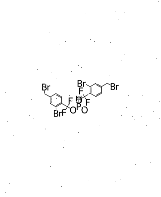 O=[PH](OC(F)(F)c1ccc(CBr)cc1Br)OC(F)(F)c1ccc(CBr)cc1Br